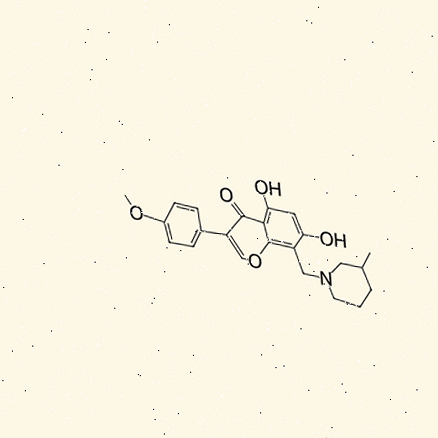 COc1ccc(-c2coc3c(CN4CCCC(C)C4)c(O)cc(O)c3c2=O)cc1